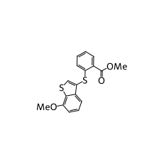 COC(=O)c1ccccc1Sc1csc2c(OC)cccc12